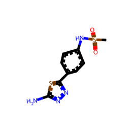 CS(=O)(=O)Nc1ccc(-c2nnc(N)s2)cc1